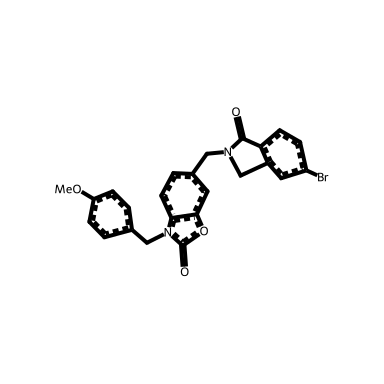 COc1ccc(Cn2c(=O)oc3cc(CN4Cc5cc(Br)ccc5C4=O)ccc32)cc1